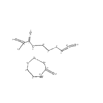 C=C(C)C(=O)OCCCN=C=O.O=C1CCCCCN1